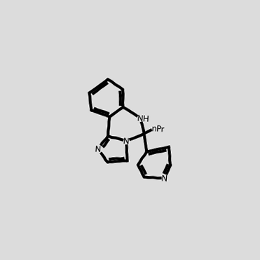 CCCC1(c2ccncc2)Nc2ccccc2-c2nccn21